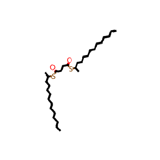 CCCCCCCCCCCCC(C)SC(=O)CCC(=O)SC(C)CCCCCCCCCCCC